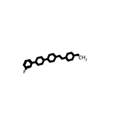 CCC1CCC(CCC2CCC(C3CCC(c4cccc(F)c4)CC3)CC2)CC1